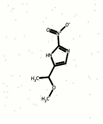 [CH2]OC(C)c1cnc([N+](=O)[O-])[nH]1